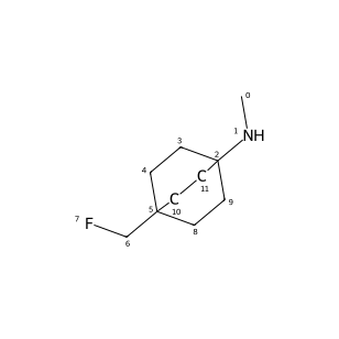 CNC12CCC(CF)(CC1)CC2